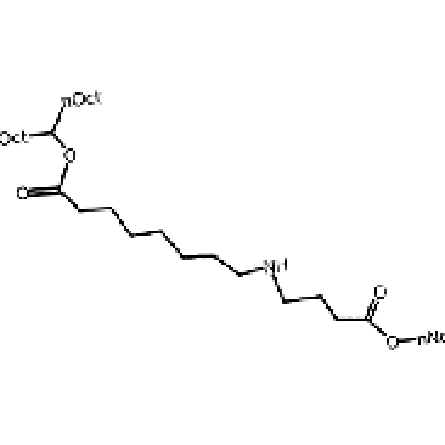 CCCCCCCCCOC(=O)CCCNCCCCCCCC(=O)OC(CCCCCCCC)CCCCCCCC